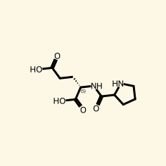 O=C(O)CC[C@H](NC(=O)C1CCCN1)C(=O)O